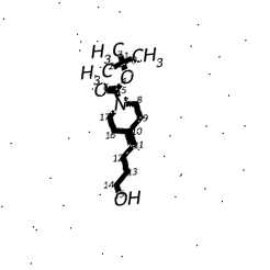 CC(C)(C)OC(=O)N1CCC(=CCCCO)CC1